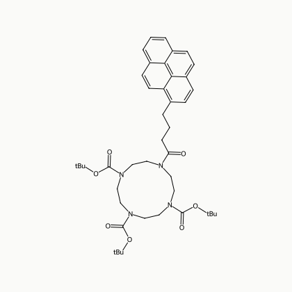 CC(C)(C)OC(=O)N1CCN(C(=O)CCCc2ccc3ccc4cccc5ccc2c3c45)CCN(C(=O)OC(C)(C)C)CCN(C(=O)OC(C)(C)C)CC1